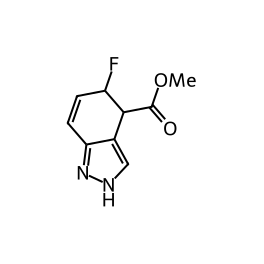 COC(=O)C1c2c[nH]nc2C=CC1F